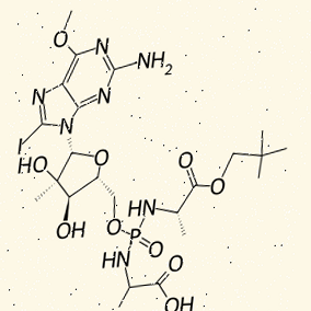 COc1nc(N)nc2c1nc(I)n2[C@@H]1O[C@H](COP(=O)(NC(C)C(=O)O)N[C@@H](C)C(=O)OCC(C)(C)C)[C@@H](O)[C@@]1(C)O